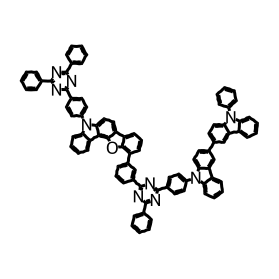 c1ccc(-c2nc(-c3ccccc3)nc(-c3ccc(-n4c5ccccc5c5c6oc7c(-c8cccc(-c9nc(-c%10ccccc%10)nc(-c%10ccc(-n%11c%12ccccc%12c%12cc(-c%13ccc%14c(c%13)c%13ccccc%13n%14-c%13ccccc%13)ccc%12%11)cc%10)n9)c8)cccc7c6ccc54)cc3)n2)cc1